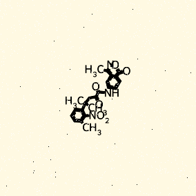 Cc1cccc(C(C)(C)CC(=O)C(=O)Nc2ccc3c(=O)onc(C)c3c2)c1[N+](=O)[O-]